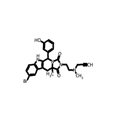 C#CCN(C)CCN1C(=O)N2C(c3cccc(O)c3)c3[nH]c4ccc(Br)cc4c3CC2(C)C1=O